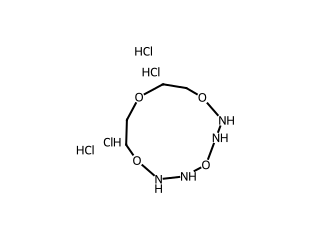 C1CONNONNOCCO1.Cl.Cl.Cl.Cl